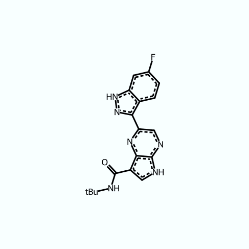 CC(C)(C)NC(=O)c1c[nH]c2ncc(-c3n[nH]c4cc(F)ccc34)nc12